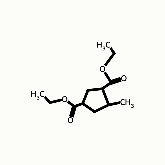 CCOC(=O)C1CC(C)C(C(=O)OCC)C1